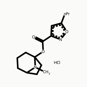 CCCc1cc(C(=O)OC23CCCC(CC2)N3C)no1.Cl